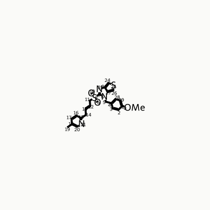 COc1ccc(Cn2c(S(=O)(=O)CC=CCc3ccc(C)cn3)nc3cscc32)cc1